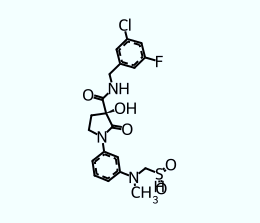 CN(C[SH](=O)=O)c1cccc(N2CC[C@](O)(C(=O)NCc3cc(F)cc(Cl)c3)C2=O)c1